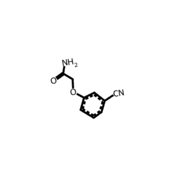 N#Cc1cccc(OCC(N)=O)c1